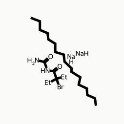 CCC(Br)(CC)C(=O)NC(N)=O.CCCCCCCCCCCCCCCCC.[NaH].[NaH]